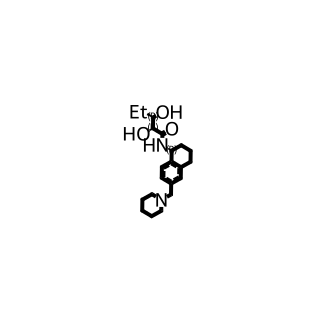 CC[C@@H](O)[C@@H](O)C(=O)N[C@@H]1CCCc2cc(CN3CCCCC3)ccc21